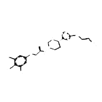 O=C(COc1cc(Cl)c(Cl)c(Cl)c1)N[Si@H]1CC[C@H](c2nnc(OCCC(F)(F)F)o2)NC1